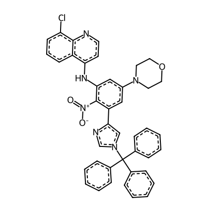 O=[N+]([O-])c1c(Nc2ccnc3c(Cl)cccc23)cc(N2CCOCC2)cc1-c1cn(C(c2ccccc2)(c2ccccc2)c2ccccc2)cn1